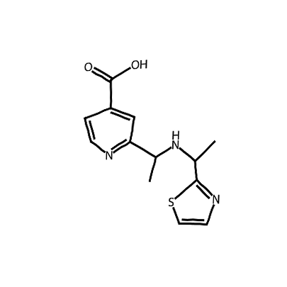 CC(NC(C)c1nccs1)c1cc(C(=O)O)ccn1